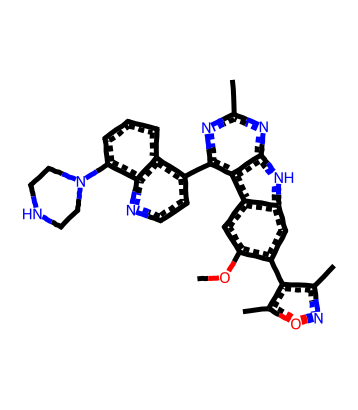 COc1cc2c(cc1-c1c(C)noc1C)[nH]c1nc(C)nc(-c3ccnc4c(N5CCNCC5)cccc34)c12